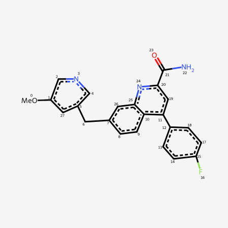 COc1cncc(Cc2ccc3c(-c4ccc(F)cc4)cc(C(N)=O)nc3c2)c1